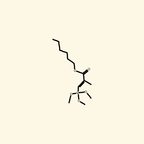 CCCCCCOC(=O)C(C)=C[Si](OC)(OC)OC